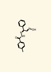 Cc1ccc(C(=O)N/N=C(\C=N\O)c2ccccc2)cc1